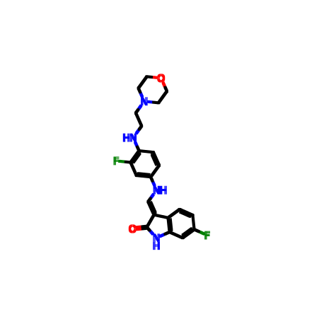 O=C1Nc2cc(F)ccc2/C1=C\Nc1ccc(NCCN2CCOCC2)c(F)c1